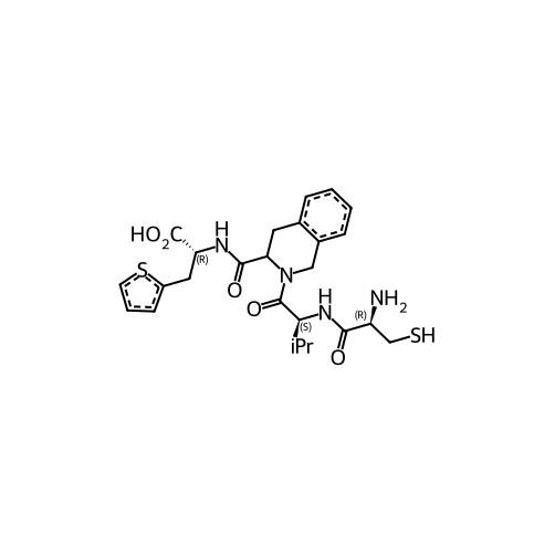 CC(C)[C@H](NC(=O)[C@@H](N)CS)C(=O)N1Cc2ccccc2CC1C(=O)N[C@H](Cc1cccs1)C(=O)O